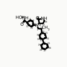 CC(CN(c1ccc(C(=O)NO)cc1)C1CCNC1=O)c1ccc(-c2ccccc2)cc1